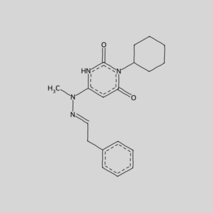 CN(/N=C/Cc1ccccc1)c1cc(=O)n(C2CCCCC2)c(=O)[nH]1